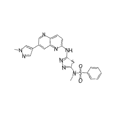 CN(c1nnc(Nc2ccc3ncc(-c4cnn(C)c4)cc3n2)s1)S(=O)(=O)c1ccccc1